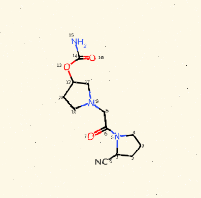 N#CC1CCCN1C(=O)CN1CCC(OC(N)=O)C1